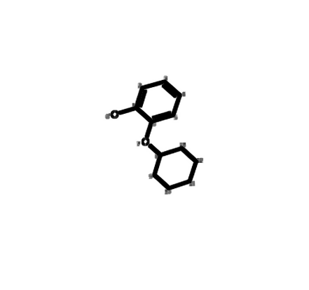 [O]c1ccccc1OC1CCCCC1